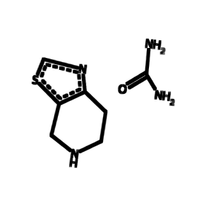 NC(N)=O.c1nc2c(s1)CNCC2